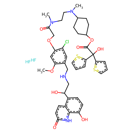 COc1cc(OCC(=O)N(C)CCN(C)C2CCC(OC(=O)C(O)(c3cccs3)c3cccs3)CC2)c(Cl)cc1CNCC(O)c1ccc(O)c2[nH]c(=O)ccc12.F.F